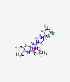 CONC(=Nc1cc(C)c(C)nc1OC)N1CCN(c2cc(F)cc(F)c2)CC1